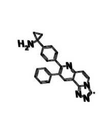 NC1(c2ccc(-c3nc4ccn5[c]nnc5c4cc3-c3ccccc3)cc2)CC1